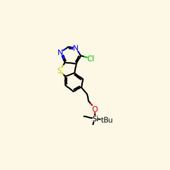 CC(C)(C)[Si](C)(C)OCCc1ccc2sc3ncnc(Cl)c3c2c1